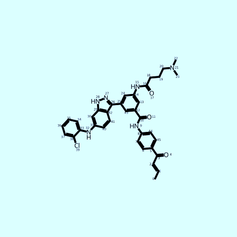 C/C=C/C(=O)c1ccc(NC(=O)c2cc(NC(=O)CCCN(C)C)cc(-c3n[nH]c4cc(Nc5ccccc5Cl)ccc34)c2)cc1